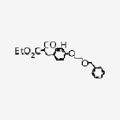 CCOC(=O)C(Cc1ccc(OCCOCc2ccccc2)cc1)C(=O)O